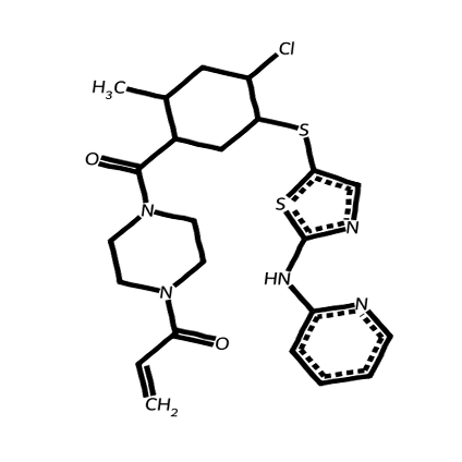 C=CC(=O)N1CCN(C(=O)C2CC(Sc3cnc(Nc4ccccn4)s3)C(Cl)CC2C)CC1